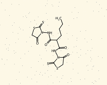 CCCCC(C(=O)NN1C(=O)CSC1=S)C(=O)NN1C(=O)CSC1=S